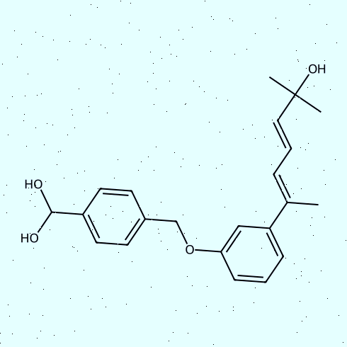 CC(=CC=CC(C)(C)O)c1cccc(OCc2ccc(C(O)O)cc2)c1